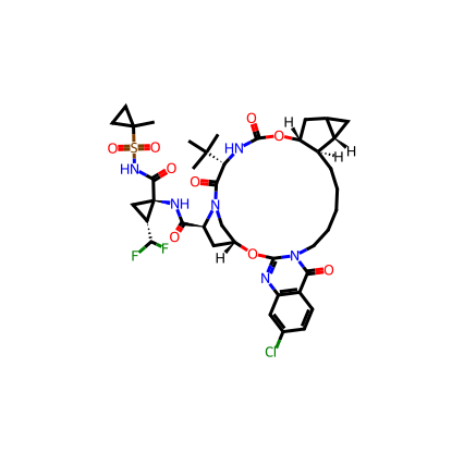 CC(C)(C)[C@@H]1NC(=O)O[C@@H]2CC3C[C@@H]3[C@H]2CCCCCn2c(nc3cc(Cl)ccc3c2=O)O[C@@H]2C[C@@H](C(=O)N[C@]3(C(=O)NS(=O)(=O)C4(C)CC4)C[C@H]3C(F)F)N(C2)C1=O